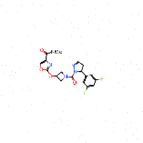 CNC(=O)c1coc(OC2CN(C(=O)N3N=CCC3c3cc(F)cc(F)c3)C2)n1